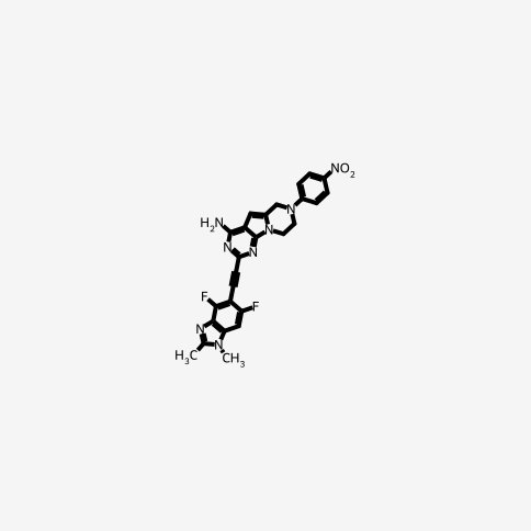 Cc1nc2c(F)c(C#Cc3nc(N)c4cc5n(c4n3)CCN(c3ccc([N+](=O)[O-])cc3)C5)c(F)cc2n1C